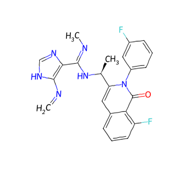 C=Nc1[nH]cnc1/C(=N\C)N[C@@H](C)c1cc2cccc(F)c2c(=O)n1-c1cccc(F)c1